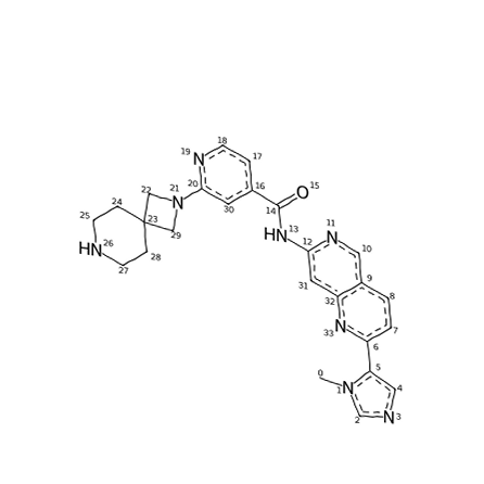 Cn1cncc1-c1ccc2cnc(NC(=O)c3ccnc(N4CC5(CCNCC5)C4)c3)cc2n1